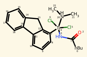 CCCCC(=O)[NH][Ti]([Cl])([Cl])([c]1cccc2c1Cc1ccccc1-2)[SiH](C)C